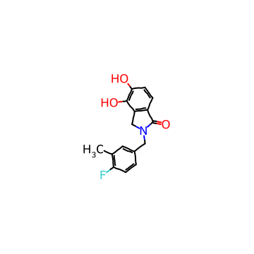 Cc1cc(CN2Cc3c(ccc(O)c3O)C2=O)ccc1F